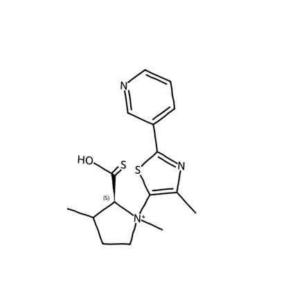 Cc1nc(-c2cccnc2)sc1[N+]1(C)CCC(C)[C@H]1C(O)=S